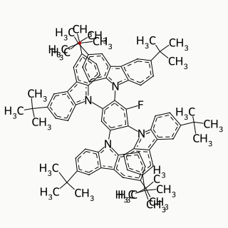 CC(C)(C)c1ccc2c(c1)c1cc(C(C)(C)C)ccc1n2-c1cc(-n2c3ccc(C(C)(C)C)cc3c3cc(C(C)(C)C)ccc32)c(-n2c3ccc(C(C)(C)C)cc3c3cc(C(C)(C)C)ccc32)c(F)c1-n1c2ccc(C(C)(C)C)cc2c2cc(C(C)(C)C)ccc21